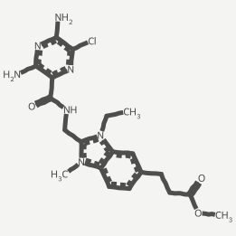 CCn1c(CNC(=O)c2nc(Cl)c(N)nc2N)[n+](C)c2ccc(CCC(=O)OC)cc21